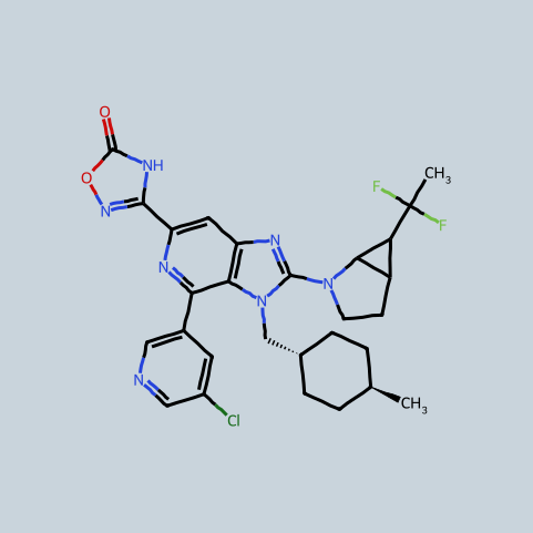 CC(F)(F)C1C2CCN(c3nc4cc(-c5noc(=O)[nH]5)nc(-c5cncc(Cl)c5)c4n3C[C@H]3CC[C@H](C)CC3)C21